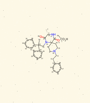 CC(=O)O.C[C@@H]1NC(=O)C2(CCN(CCc3ccccc3)CC2)N(CC(C)(c2ccccc2)c2ccccc2)C1=O